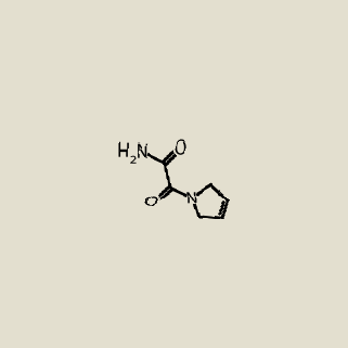 NC(=O)C(=O)N1CC=CC1